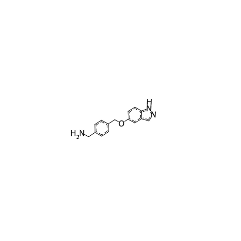 NCc1ccc(COc2ccc3[nH]ncc3c2)cc1